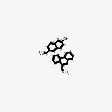 C=Cc1cc2ccccc2c2ccccc12.C=Cc1ccc2cc(O)ccc2c1